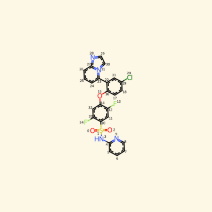 O=S(=O)(Nc1ccccn1)c1cc(F)c(Oc2ccc(Cl)cc2-c2cccc3nccn23)cc1F